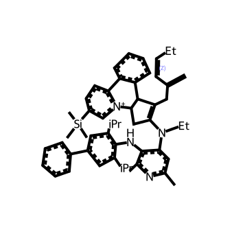 C=C(/C=C\CC)CC1=C(N(CC)c2cc(C)nc(C)c2Nc2c(C(C)C)cc(-c3ccccc3)cc2C(C)C)CC2C1c1ccccc1-c1ccc([Si](C)(C)C)c[n+]12